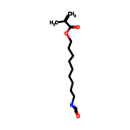 C=C(C)C(=O)OCCCCCCCCCN=C=O